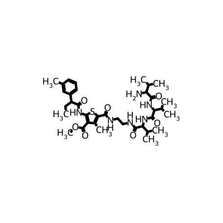 CCC(C(=O)Nc1sc(C(=O)NCCNC(=O)C(NC(=O)C(NC(=O)C(N)C(C)C)C(C)C)C(C)C)c(C)c1C(=O)OC)c1cccc(C)c1